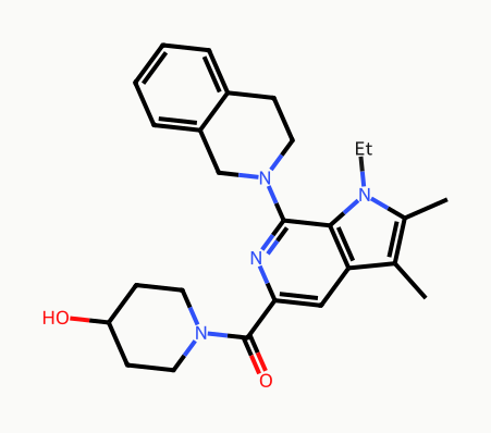 CCn1c(C)c(C)c2cc(C(=O)N3CCC(O)CC3)nc(N3CCc4ccccc4C3)c21